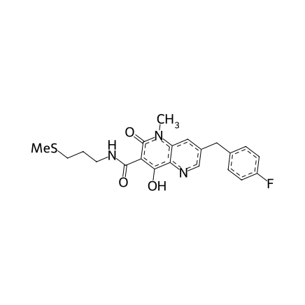 CSCCCNC(=O)c1c(O)c2ncc(Cc3ccc(F)cc3)cc2n(C)c1=O